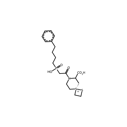 O=C(O)C1C[S@]2(CCS2)CCN1C(=O)CP(=O)(O)CCCCc1ccccc1